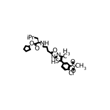 Cc1nc(NC(=O)CCCN[C@H](CC(C)C)C(=O)OC2CCCC2)sc1-c1ccc(Cl)c(S(C)(=O)=O)c1